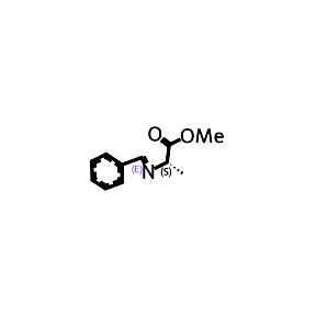 COC(=O)[C@H](C)/N=C/c1ccccc1